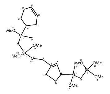 CO[Si](C[Si](C)(OC)C1C=C(CO[Si](C[Si](C)(OC)C2CC=CCC2)(OC)OC)CC1)(OC)OC